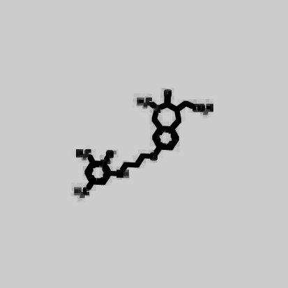 Cc1cc(C)[n+]([O-])c(NCCCOc2ccc3c(c2)CN(C)C(=O)C(CC(=O)O)C3)c1